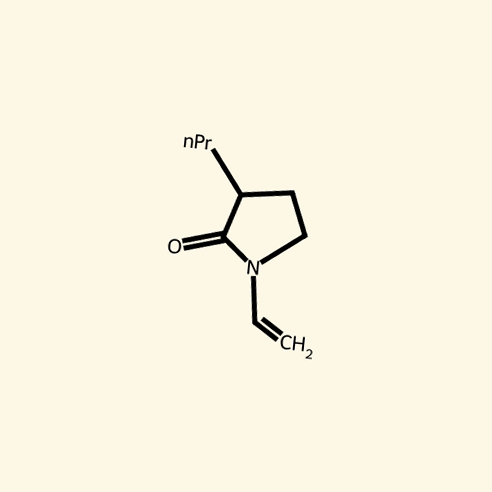 C=CN1CCC(CCC)C1=O